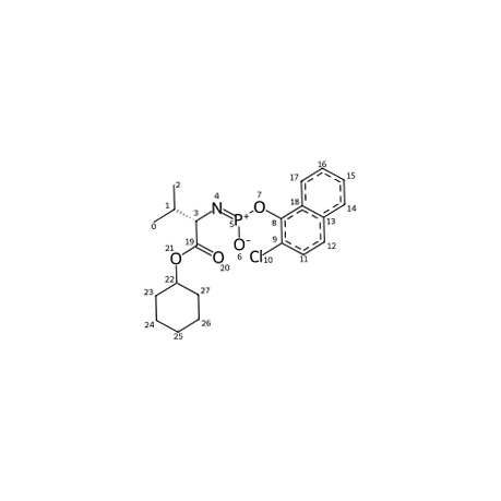 CC(C)[C@H](/N=[P+](\[O-])Oc1c(Cl)ccc2ccccc12)C(=O)OC1CCCCC1